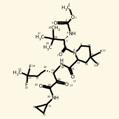 COC(=O)N[C@H](C(=O)N1CCC(F)(F)CC1C(=O)N[C@@H](CCC(C)(F)F)C(=O)C(=O)NC1CC1)C(C)(C)C